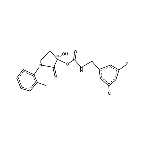 Cc1ccccc1N1CC[C@@](O)(OC(=O)NCc2cc(F)cc(Cl)c2)C1=O